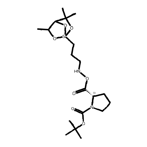 CC1O[Si]2(CCCNOC(=O)[C@@H]3CCCN3C(=O)OC(C)(C)C)OC1C(C)(C)O2